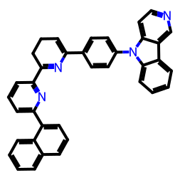 C1=C(c2ccc(-n3c4ccccc4c4cnccc43)cc2)N=C(c2cccc(-c3cccc4ccccc34)n2)CC1